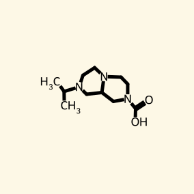 CC(C)N1CCN2CCN(C(=O)O)CC2C1